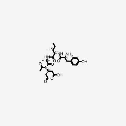 CC[C@@H](C)[C@H](NC(=O)[C@@H](N)Cc1ccc(O)cc1)C(=O)N[C@@H](C)C(=O)N(C(C)=O)[C@H](CC=O)CC(=O)O